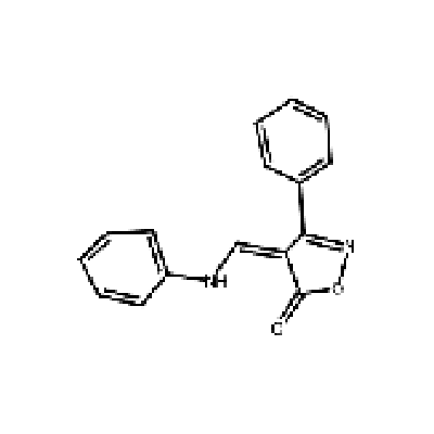 O=C1ON=C(c2ccccc2)C1=CNc1ccccc1